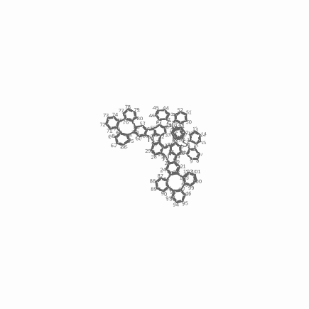 c1ccc([Si](c2ccccc2)(c2ccccc2)c2cc3c4cc5c(cc4n4c6ccc7c(c8cc([Si](c9ccccc9)(c9ccccc9)c9ccccc9)cc9c%10cc%11c(cc%10n7c98)-c7ccccc7-c7ccccc7-c7ccccc7-%11)c6c(c2)c34)-c2ccccc2-c2ccccc2-c2ccccc2-5)cc1